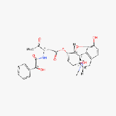 CC(C)COC(=O)[C@H](CC(=O)OC1=CC[C@@]2(O)[C@H]3Cc4ccc(O)c5c4[C@@]2(CCN3C)[C@H]1O5)NC(=O)[C@@H](O)c1ccccc1